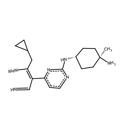 CN/C(CC1CC1)=C(\C=N)c1ccnc(N[C@H]2CC[C@](C)(N)CC2)n1